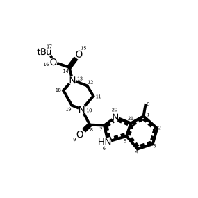 Cc1cccc2[nH]c(C(=O)N3CCN(C(=O)OC(C)(C)C)CC3)nc12